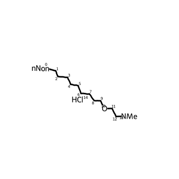 CCCCCCCCCCCCCCCCCCOCCNC.Cl